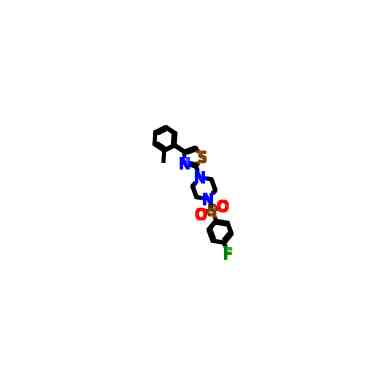 Cc1ccccc1-c1csc(N2CCN(S(=O)(=O)c3ccc(F)cc3)CC2)n1